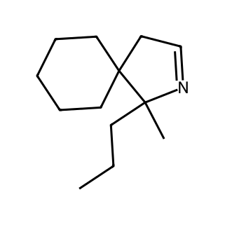 CCCC1(C)N=CCC12CCCCC2